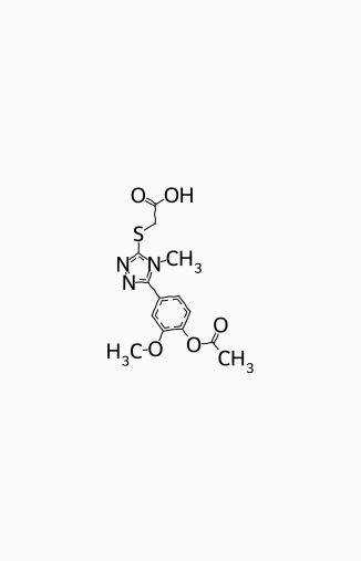 COc1cc(-c2nnc(SCC(=O)O)n2C)ccc1OC(C)=O